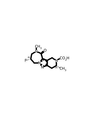 C[C@@H]1Cc2nn3c(c2CN1C(=O)O)C(=O)N(C)C[C@@H](F)C3